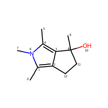 Cc1c2c(c(C)n1C)C(C)(O)CC2